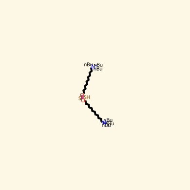 CCCC[N+](CCCC)(CCCC)CCCCCCCCCCCCOP(=S)(S)OCCCCCCCCCCCC[N+](CCCC)(CCCC)CCCC